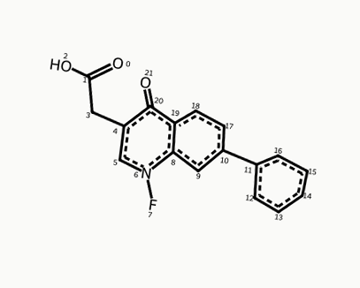 O=C(O)Cc1cn(F)c2cc(-c3ccccc3)ccc2c1=O